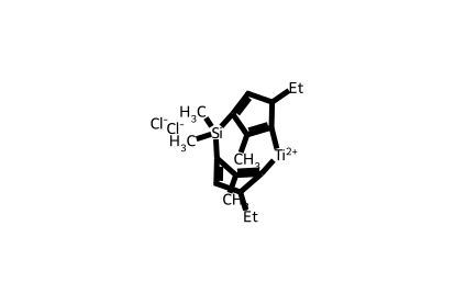 CCC1C=C2C(C)=[C]1[Ti+2][C]1=C(C)C(=CC1CC)[Si]2(C)C.[Cl-].[Cl-]